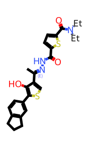 CCN(CC)C(=O)c1ccc(C(=O)N/N=C(\C)c2csc(-c3ccc4c(c3)CCC4)c2O)s1